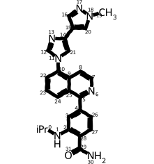 CC(C)Nc1cc(-c2nccc3c(-n4cnc(-c5cnn(C)c5)c4)cccc23)ccc1C(N)=O